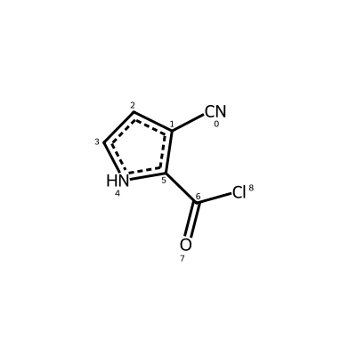 N#Cc1cc[nH]c1C(=O)Cl